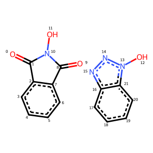 O=C1c2ccccc2C(=O)N1O.On1nnc2ccccc21